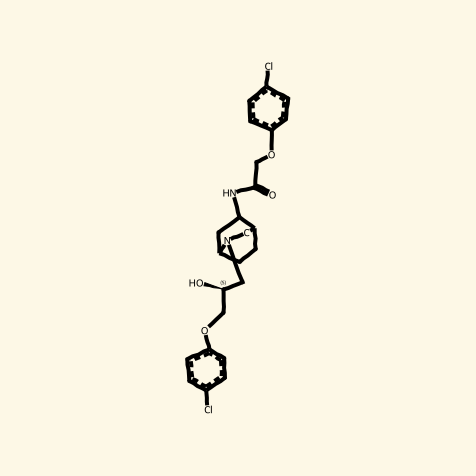 O=C(COc1ccc(Cl)cc1)NC1CC2CCC1CN2C[C@H](O)COc1ccc(Cl)cc1